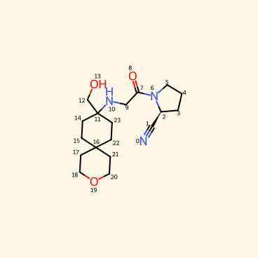 N#C[C@@H]1CCCN1C(=O)CNC1(CO)CCC2(CCOCC2)CC1